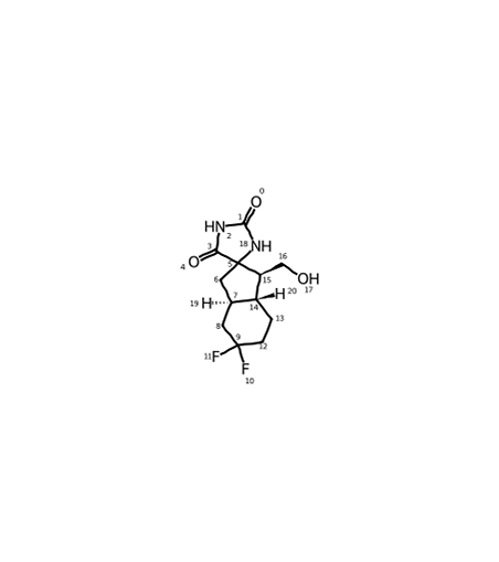 O=C1NC(=O)C2(C[C@@H]3CC(F)(F)CC[C@H]3[C@@H]2CO)N1